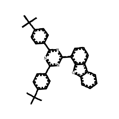 CC(C)(C)c1ccc(-c2nc(-c3ccc(C(C)(C)C)cc3)nc(-c3cccc4c3oc3ccccc34)n2)cc1